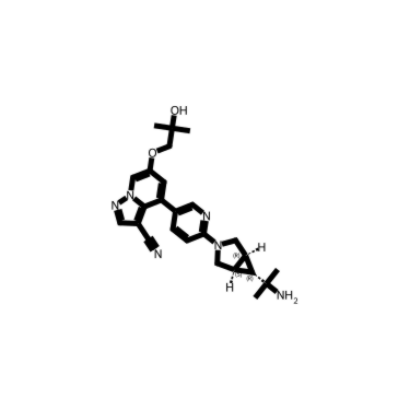 CC(C)(O)COc1cc(-c2ccc(N3C[C@@H]4[C@H](C3)[C@H]4C(C)(C)N)nc2)c2c(C#N)cnn2c1